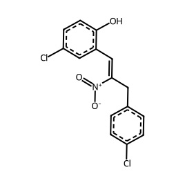 O=[N+]([O-])C(=Cc1cc(Cl)ccc1O)Cc1ccc(Cl)cc1